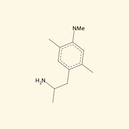 CNc1cc(C)c(CC(C)N)cc1C